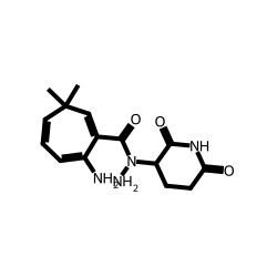 CC1(C)C=CC=C(N)C(C(=O)N(N)C2CCC(=O)NC2=O)=C1